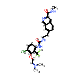 CNC(=O)c1cc2ccc(CCNC(=O)Nc3ccc(Cl)c(OCCN(C)C)c3C(F)(F)F)cc2cn1